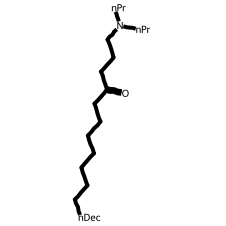 CCCCCCCCCCCCCCCCCC(=O)CCCN(CCC)CCC